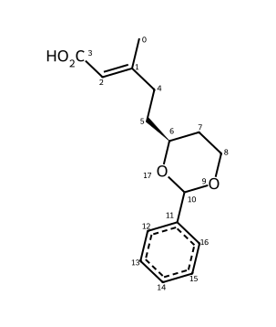 CC(=CC(=O)O)CC[C@H]1CCOC(c2ccccc2)O1